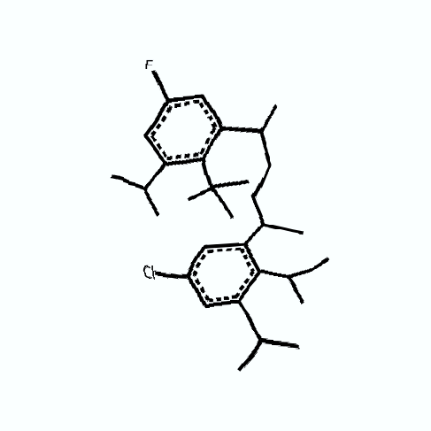 CC(C)c1cc(Cl)cc(C(C)CCC(C)c2cc(F)cc(C(C)C)c2C(C)(C)C)c1C(C)C